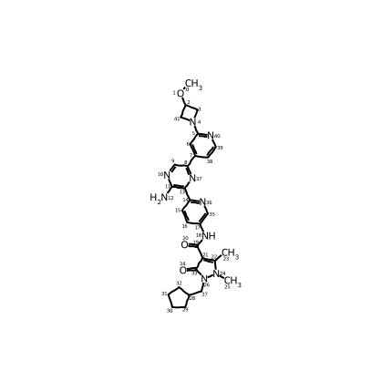 COC1CN(c2cc(-c3cnc(N)c(-c4ccc(NC(=O)c5c(C)n(C)n(CC6CCCC6)c5=O)cn4)n3)ccn2)C1